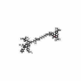 CCN(CC)c1ccc2c(-c3ccc(S(=O)(=O)NCCCCCCCCCCNC(=O)NCCCCC(NC(=O)Cc4csc(=N)n4C)C(=O)NC(Cc4cn(Cc5ccccc5)c[n+]4C)C(=O)NC4CCN(C)CC4)cc3[SH](=O)=O)c3ccc(=[N+](CC)CC)cc-3oc2c1